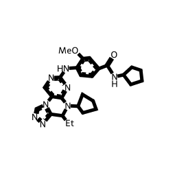 CCC1c2nncn2-c2cnc(Nc3ccc(C(=O)NC4CCCC4)cc3OC)nc2N1C1CCCC1